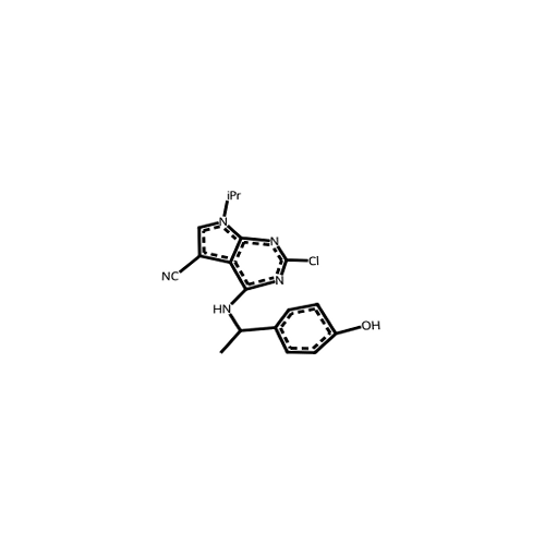 CC(Nc1nc(Cl)nc2c1c(C#N)cn2C(C)C)c1ccc(O)cc1